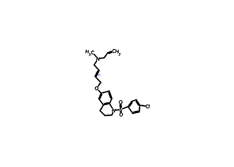 C=CCN(C)C/C=C/COc1ccc2c(c1)CCCN2S(=O)(=O)c1ccc(Cl)cc1